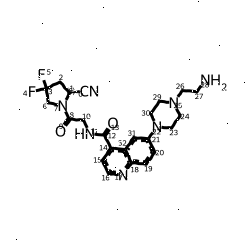 N#C[C@@H]1CC(F)(F)CN1C(=O)CNC(=O)c1ccnc2ccc(N3CCN(CCN)CC3)cc12